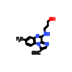 O=Cc1cnc2c(NCCCO)nc3cc(C(F)(F)F)ccc3n12